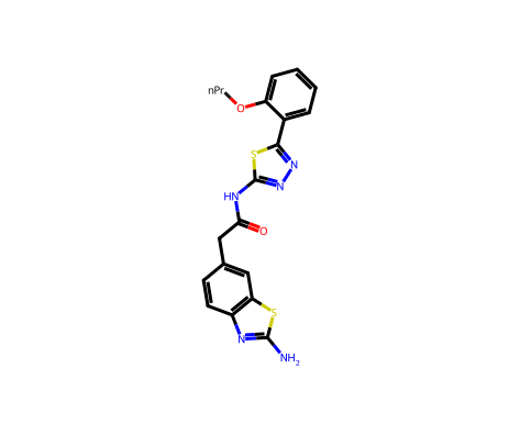 CCCOc1ccccc1-c1nnc(NC(=O)Cc2ccc3nc(N)sc3c2)s1